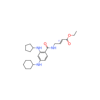 CCOC(=O)/C=C/CNC(=O)c1ccc(NC2CCCCC2)cc1NC1CCCC1